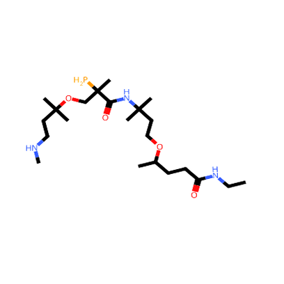 CCNC(=O)CCC(C)OCCC(C)(C)NC(=O)C(C)(P)COC(C)(C)CCNC